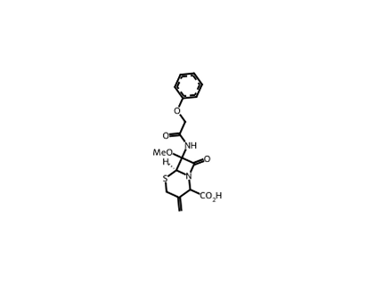 C=C1CS[C@@H]2N(C(=O)C2(NC(=O)COc2ccccc2)OC)C1C(=O)O